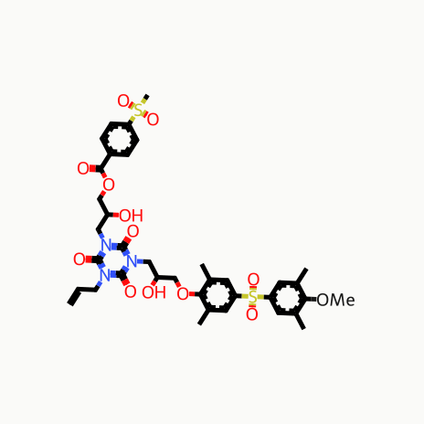 C=CCn1c(=O)n(CC(O)COC(=O)c2ccc(S(C)(=O)=O)cc2)c(=O)n(CC(O)COc2c(C)cc(S(=O)(=O)c3cc(C)c(OC)c(C)c3)cc2C)c1=O